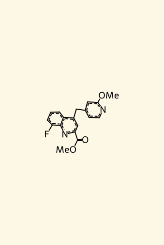 COC(=O)c1cc(Cc2ccnc(OC)c2)c2cccc(F)c2n1